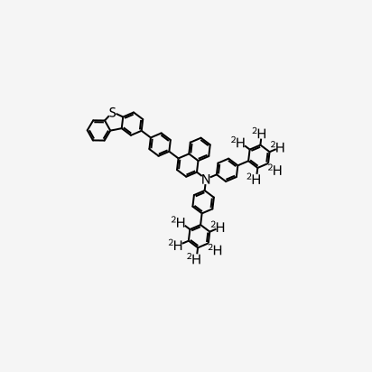 [2H]c1c([2H])c([2H])c(-c2ccc(N(c3ccc(-c4c([2H])c([2H])c([2H])c([2H])c4[2H])cc3)c3ccc(-c4ccc(-c5ccc6sc7ccccc7c6c5)cc4)c4ccccc34)cc2)c([2H])c1[2H]